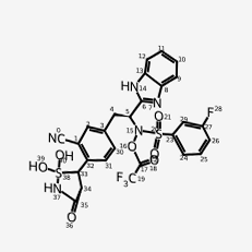 N#Cc1cc(C[C@@H](c2nc3ccccc3[nH]2)N(OC(=O)C(F)(F)F)S(=O)(=O)c2cccc(F)c2)ccc1C1CC(=O)NS1(O)O